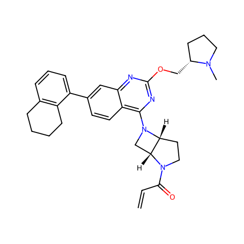 C=CC(=O)N1CC[C@@H]2[C@H]1CN2c1nc(OC[C@@H]2CCCN2C)nc2cc(-c3cccc4c3CCCC4)ccc12